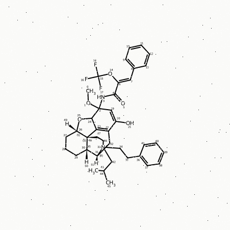 COC1(NC(=O)C(=Cc2ccccc2)OC(F)(F)F)C=C(O)C2=C3C1O[C@H]1CCC[C@H]4[C@@H](C2)[N+](CCc2ccccc2)(CC(C)C)CC[C@]314